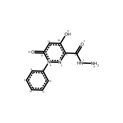 NNC(=O)c1nn(-c2ccccc2)c(=O)cc1O